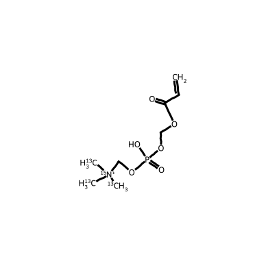 C=CC(=O)OCOP(=O)(O)OC[15N+]([13CH3])([13CH3])[13CH3]